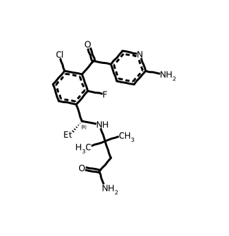 CC[C@@H](NC(C)(C)CC(N)=O)c1ccc(Cl)c(C(=O)c2ccc(N)nc2)c1F